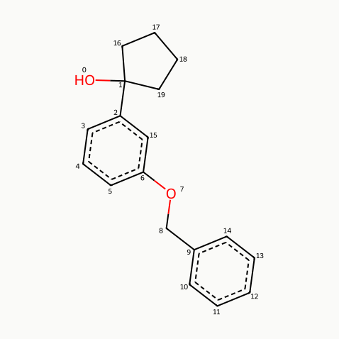 OC1(c2cccc(OCc3ccccc3)c2)CCCC1